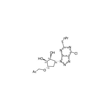 CCCSc1nc(Cl)c2nnn([C@@H]3C[C@H](OCC(C)=O)[C@@H](O)[C@H]3O)c2n1